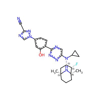 C[C@@]12CCC[C@@](C)(N1)[C@@H](F)[C@@H](N(c1cnc(-c3ccc(-n4cnc(C#N)n4)cc3O)nn1)C1CC1)C2